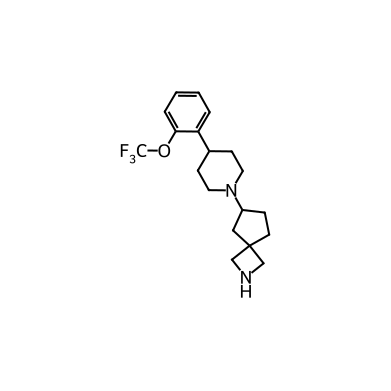 FC(F)(F)Oc1ccccc1C1CCN(C2CCC3(CNC3)C2)CC1